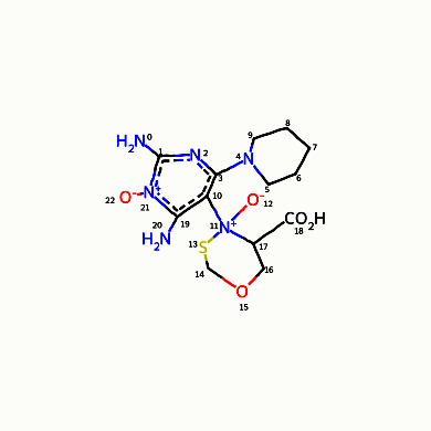 Nc1nc(N2CCCCC2)c([N+]2([O-])SCOCC2C(=O)O)c(N)[n+]1[O-]